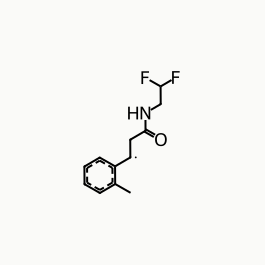 Cc1ccccc1[CH]CC(=O)NCC(F)F